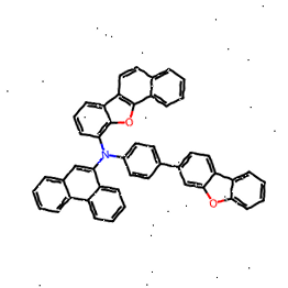 c1ccc2c(c1)cc(N(c1ccc(-c3ccc4c(c3)oc3ccccc34)cc1)c1cccc3c1oc1c4ccccc4ccc31)c1ccccc12